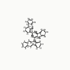 c1ccc2cc3c(cc2c1)c1ccccc1n3-c1nc(-c2cccc3c2sc2ccccc23)nc2c1sc1ccccc12